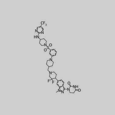 Cn1nc(N2CCC(=O)NC2=O)c2ccc(C3CCN(CC4CCN(c5cccc(S(=O)(=O)N6CCC(Nc7ncc(C(F)(F)F)cn7)CC6)c5)CC4)CC3(F)F)cc21